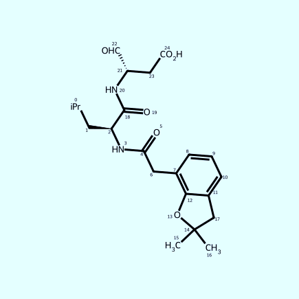 CC(C)C[C@H](NC(=O)Cc1cccc2c1OC(C)(C)C2)C(=O)N[C@H](C=O)CC(=O)O